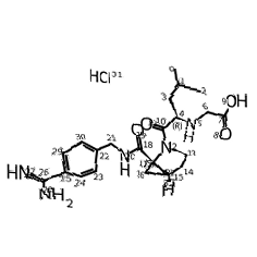 CC(C)C[C@@H](NCC(=O)O)C(=O)N1CC[C@@H]2C[C@@]21C(=O)NCc1ccc(C(=N)N)cc1.Cl